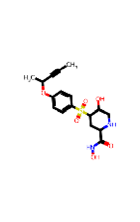 CC#CC(C)Oc1ccc(S(=O)(=O)C2CC(C(=O)NO)NCC2O)cc1